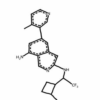 Cc1ccncc1-c1cc(N)c2cnc(NC(C3CCC3C)C(F)(F)F)cc2c1